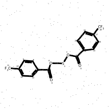 O=C(OSOC(=O)c1ccc(C(F)(F)F)cc1)c1ccc(C(F)(F)F)cc1